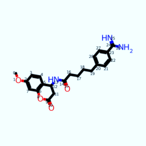 COc1ccc2c(c1)OC(=O)CC2NC(=O)CCCCc1ccc(C(=N)N)cc1